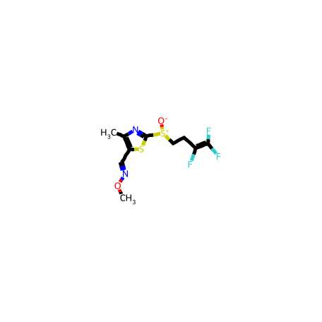 CO/N=C/c1sc([S+]([O-])CCC(F)=C(F)F)nc1C